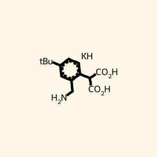 CC(C)(C)c1ccc(C(C(=O)O)C(=O)O)c(CN)c1.[KH]